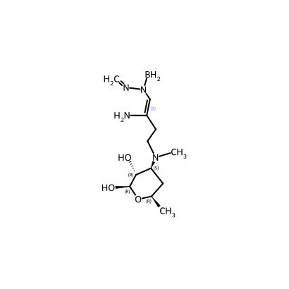 BN(/C=C(\N)CCN(C)[C@H]1C[C@@H](C)O[C@@H](O)[C@@H]1O)N=C